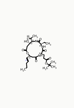 CCC/C=C/[C@@H]1CC(=O)N[C@H](CCC(=O)OC(C)(C)C)C(=O)N[C@H](CC)C(=O)N[C@H](C(C)C)[C@@H](O)CC(=O)O1